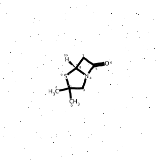 CC1(C)CN2C(=O)C[C@H]2S1